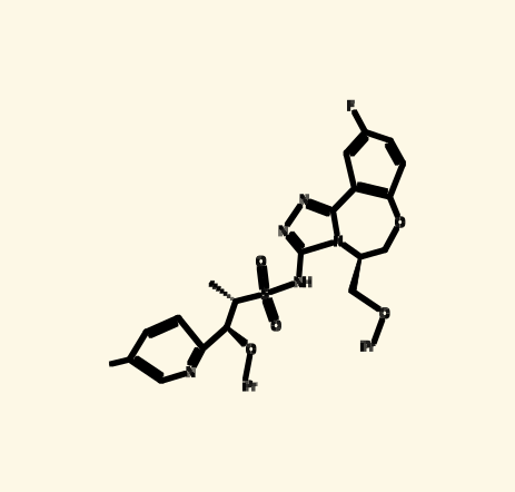 Cc1ccc([C@H](OC(C)C)[C@H](C)S(=O)(=O)Nc2nnc3n2[C@H](COC(C)C)COc2ccc(F)cc2-3)nc1